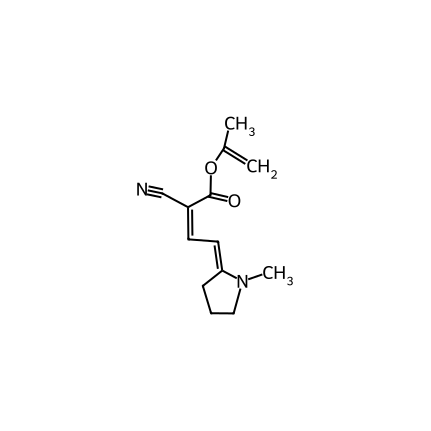 C=C(C)OC(=O)/C(C#N)=C\C=C1/CCCN1C